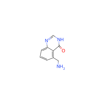 NCc1cccc2nc[nH]c(=O)c12